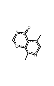 Cc1ncc(C)c2c(=O)ncoc12